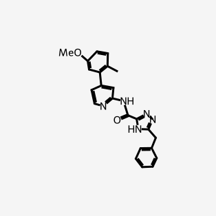 COc1ccc(C)c(-c2ccnc(NC(=O)c3nnc(Cc4ccccc4)[nH]3)c2)c1